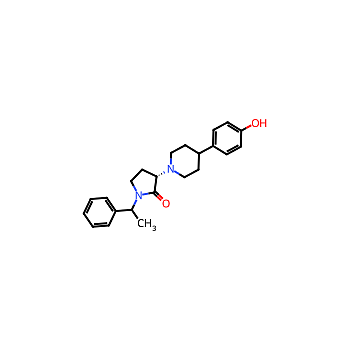 CC(c1ccccc1)N1CC[C@H](N2CCC(c3ccc(O)cc3)CC2)C1=O